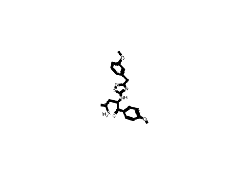 COc1ccc(C(=O)C(CC(C)N)Nc2nc(Cc3cccc(OC)c3)ns2)cc1